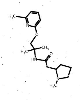 Cc1cccc(OCC(C)(C)NC(=O)CC2CCCN2C)n1